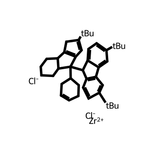 CC(C)(C)C1=CC2=C(C1)C1CCCCC1C2(C1CC=CCC1)C1c2ccc(C(C)(C)C)cc2-c2cc(C(C)(C)C)ccc21.[Cl-].[Cl-].[Zr+2]